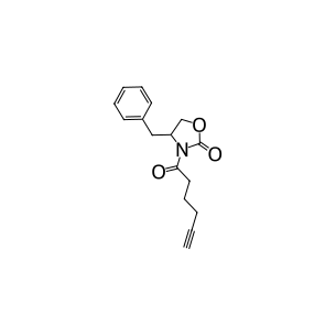 C#CCCCC(=O)N1C(=O)OCC1Cc1ccccc1